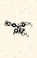 Cc1ccc(-c2nc([C@@H]3CC[C@H](F)C[C@H]3C(=O)N[C@@H](C)C#N)c(-c3ccc(N4CCS(=O)(=O)CC4)cc3)s2)nn1